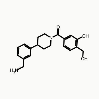 NCc1cccc(C2CCN(C(=O)c3ccc(CO)c(O)c3)CC2)c1